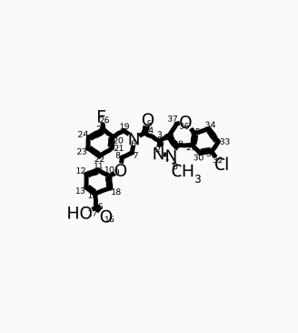 Cn1nc(C(=O)N(CCOc2cccc(C(=O)O)c2)Cc2ccccc2F)c2c1-c1cc(Cl)ccc1OC2